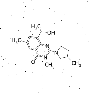 Cc1cc(C(C)O)c2nc(N3CCC(C)C3)n(C)c(=O)c2c1